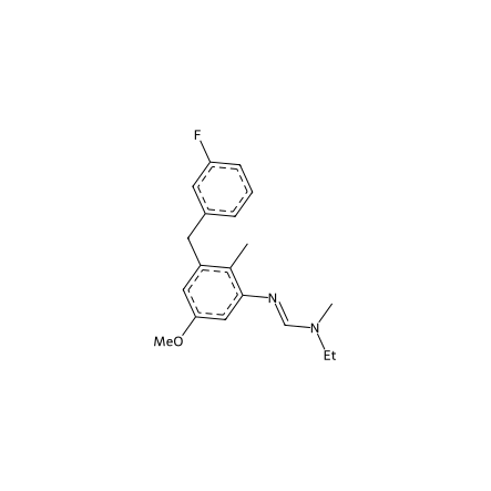 CCN(C)C=Nc1cc(OC)cc(Cc2cccc(F)c2)c1C